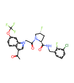 CC(=O)c1cn(CC(=O)N2C[C@H](F)C[C@H]2C(=O)NCc2cccc(Cl)c2F)c2cc(OC(F)(F)F)ccc12